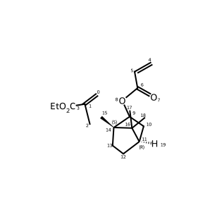 C=C(C)C(=O)OCC.C=CC(=O)OC1C[C@H]2CC[C@@]1(C)C2(C)C